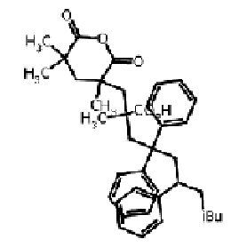 CCC(C)CC(CC(CC(C)(CC1(C)CC(C)(C)C(=O)OC1=O)C(=O)O)(c1ccccc1)c1ccccc1)c1ccccc1